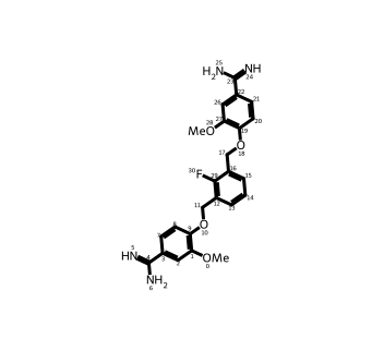 COc1cc(C(=N)N)ccc1OCc1cccc(COc2ccc(C(=N)N)cc2OC)c1F